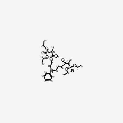 CCOP(=O)(OCC)C(C)C(=O)OCCN(CCOC(=O)C(C)P(=O)(OCC)OCC)c1ccccc1